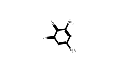 NC1=CC(=O)C(=O)C(N)=C1